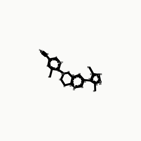 Cc1cc(C#N)cnc1N1CCc2ncc(-c3c(C)noc3C)cc2C1